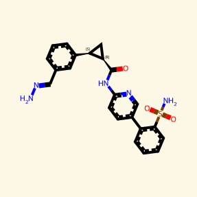 NN=Cc1cccc([C@H]2C[C@H]2C(=O)Nc2ccc(-c3ccccc3S(N)(=O)=O)cn2)c1